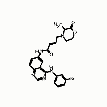 CC1C(=O)OCCN1CC=CC(=O)Nc1ccc2ncnc(Nc3cccc(Br)c3)c2c1